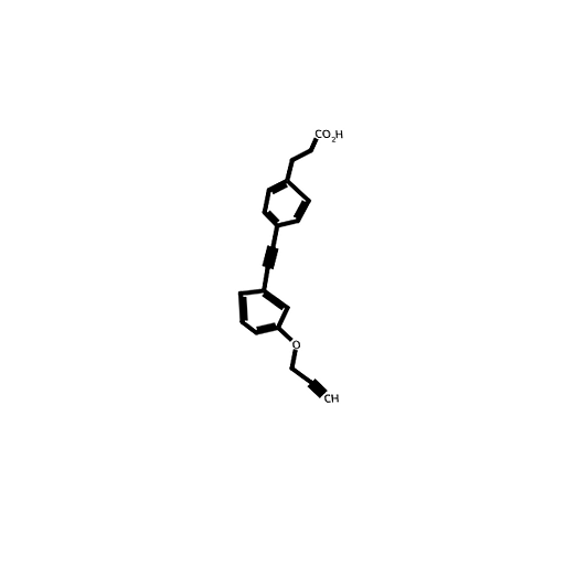 C#CCOc1cccc(C#Cc2ccc(CCC(=O)O)cc2)c1